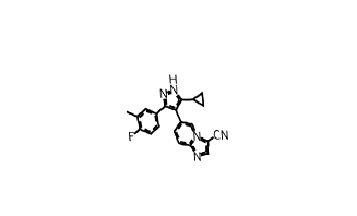 Cc1cc(-c2n[nH]c(C3CC3)c2-c2ccc3ncc(C#N)n3c2)ccc1F